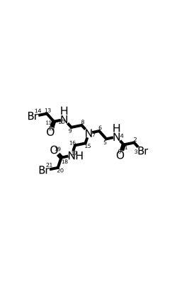 O=C(CBr)NCCN(CCNC(=O)CBr)CCNC(=O)CBr